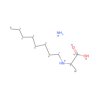 CCCCCCCCNC(C)C(=O)O.N